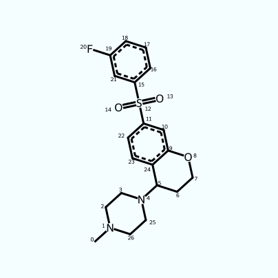 CN1CCN(C2CCOc3cc(S(=O)(=O)c4cccc(F)c4)ccc32)CC1